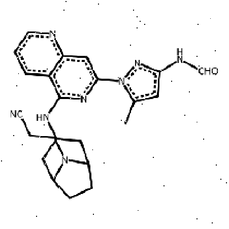 Cc1cc(NC=O)nn1-c1cc2ncccc2c(NC2CC3CCC(C2)N3CCC#N)n1